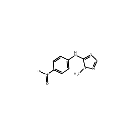 Cn1nnnc1Nc1ccc([N+](=O)[O-])cc1